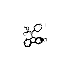 COC(=O)N(C1CCNCC1)C1c2ccccc2-c2ccccc21.Cl